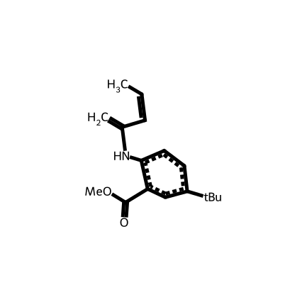 C=C(/C=C\C)Nc1ccc(C(C)(C)C)cc1C(=O)OC